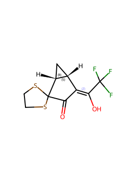 O=C1/C(=C(\O)C(F)(F)F)[C@H]2C[C@H]2C12SCCS2